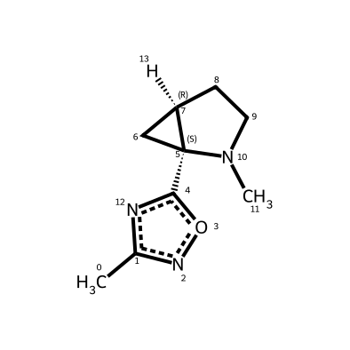 Cc1noc([C@]23C[C@H]2CCN3C)n1